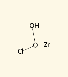 OOCl.[Zr]